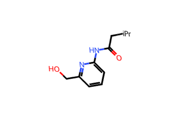 CC(C)CC(=O)Nc1cccc(CO)n1